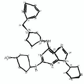 NC1CCC(Nc2nc(NN3CC[C@@H](Cc4ccccc4)C3)c3ncn(C4CCCC4)c3n2)CC1